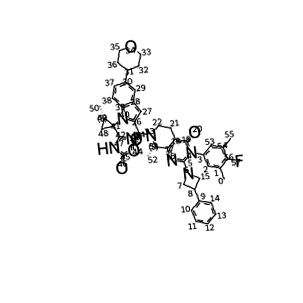 Cc1cc(-n2c(N3CC(c4ccccc4)C3)nc3c(c2=O)CCN(C(=O)c2cc4cc(C5CCOCC5)ccc4n2C2(c4noc(=O)[nH]4)C[C@@H]2C)[C@H]3C)cc(C)c1F